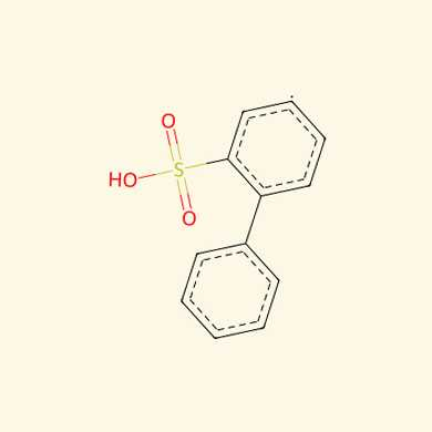 O=S(=O)(O)c1c[c]ccc1-c1ccccc1